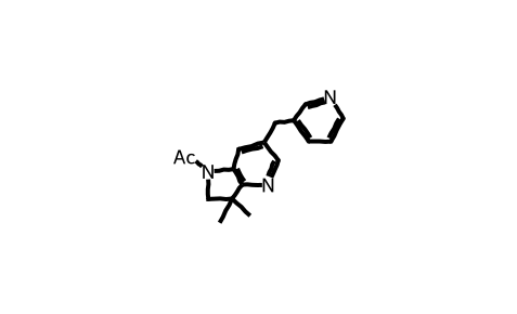 CC(=O)N1CC(C)(C)c2ncc(Cc3cccnc3)cc21